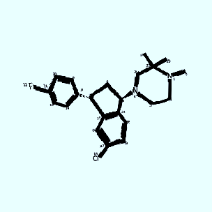 CN1CCN([C@@H]2C[C@@H](c3ccc(F)cc3)c3cc(Cl)ccc32)CC1(C)C